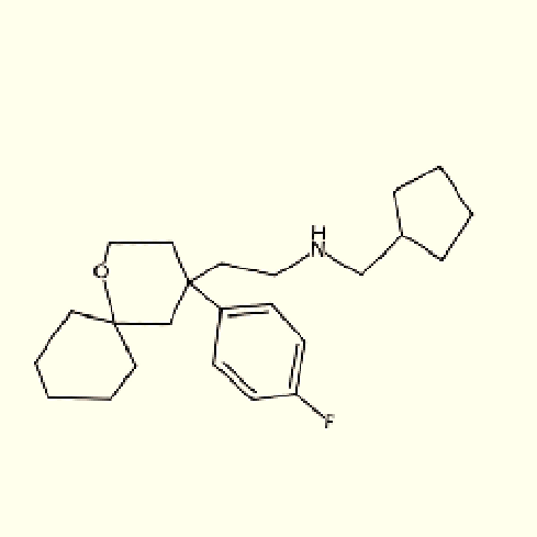 Fc1ccc(C2(CCNCC3CCCC3)CCOC3(CCCCC3)C2)cc1